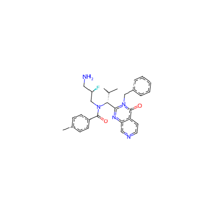 Cc1ccc(C(=O)N(C[C@H](F)CN)[C@@H](c2nc3cnccc3c(=O)n2Cc2ccccc2)C(C)C)cc1